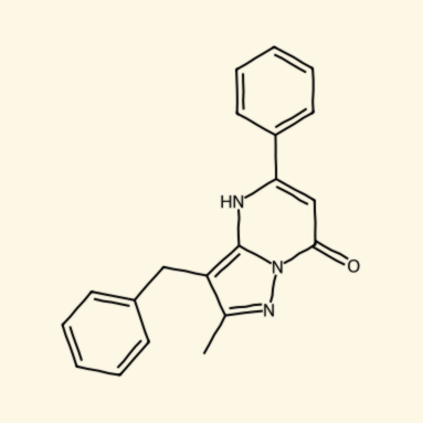 Cc1nn2c(=O)cc(-c3ccccc3)[nH]c2c1Cc1ccccc1